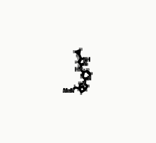 CNCC12CC(CN(c3nccc(Nc4cc(C5CC5)[nH]n4)n3)C1)C2